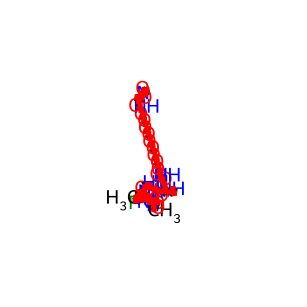 CC[C@H]1C(=O)OCc2c1cc1n(c2=O)Cc2c-1nc1cc(F)c(C)c3c1c2[C@@H](NC(=O)C1(OCNC(=O)CNC(=O)[C@H](Cc2ccccc2)NC(=O)CNC(=O)CNC(=O)COCCOCCOCCOCCOCCOCCOCCOCCOCCNC(=O)[C@H]2CC[C@H](CN4C(=O)C=CC4=O)CC2)CC1)CC3